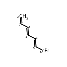 C=C/C=C/C=C/CCC